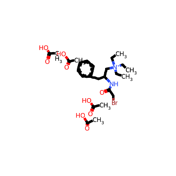 CC(=O)O.CC(=O)O.CC(=O)O.CC(=O)O.CC[N+](CC)(CC)CC(Cc1ccccc1)NC(=O)CBr